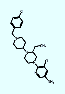 CC[C@H]1CN(c2ncc(N)cc2Cl)CCN1C1CCN(Cc2ccc(Cl)cc2)CC1